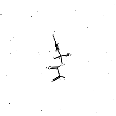 C=C(C)C(=O)OC(C)(C#CC)C(C)C